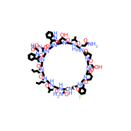 CCCC[C@H]1C(=O)N(C)[C@@H](CCCC)C(=O)N[C@@H](CC(C)C)C(=O)N[C@H](C(N)=O)CNCC(=O)N[C@@H](Cc2ccc(F)cc2)C(=O)N2CCCC[C@H]2C(=O)N[C@@H](CC(=O)O)C(=O)N2CCC[C@H]2C(=O)N[C@@H](CCC(N)=O)C(=O)N[C@@H](CC(C)C)C(=O)N2C[C@H](O)C[C@H]2C(=O)N[C@@H](Cc2c[nH]c3ccccc23)C(=O)N[C@@H](CC(N)=O)C(=O)N[C@@H](Cc2cn(CC(=O)O)c3ccccc23)C(=O)N1C